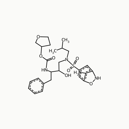 CC(C)CN(CC(O)C(Cc1ccccc1)NC(=O)OC1CCOC1)S(=O)(=O)c1cc2c(N)c(c1)ON2